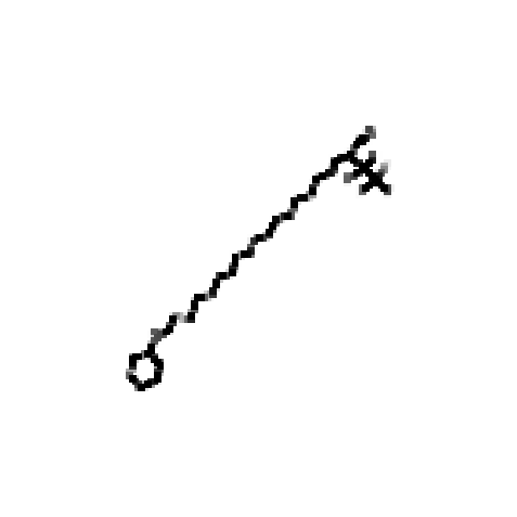 O=[C]C(CCCCCCCCCCCCCCCCCCOC1CC[CH]CC1)C(F)(F)C(F)(F)F